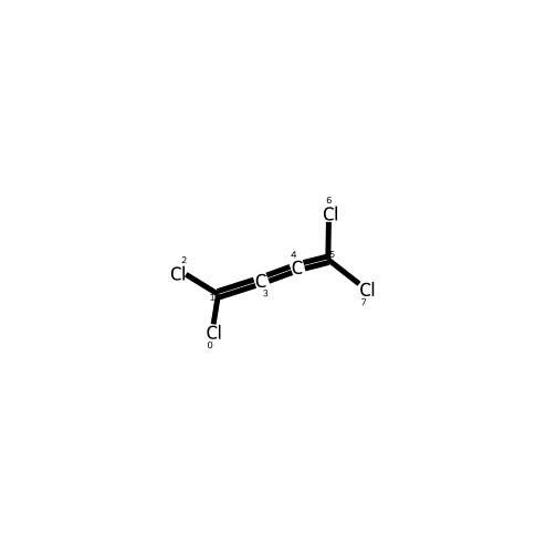 ClC(Cl)=C=C=C(Cl)Cl